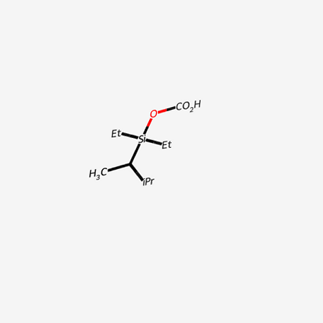 CC[Si](CC)(OC(=O)O)C(C)C(C)C